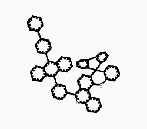 c1ccc(-c2ccc(-c3c4ccccc4c(-c4cccc(-c5nc6ccccc6c6c7c(ccc56)C5(c6ccccc6S7)c6ccccc6-c6ccccc65)c4)c4ccccc34)cc2)cc1